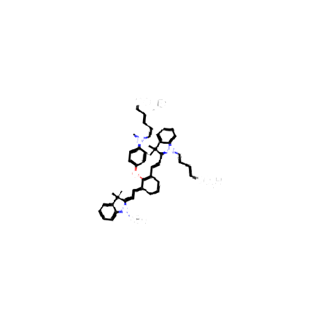 CCCCN1/C(=C/C=C2\CCCC(/C=C/C3=[N+](CCCCS(=O)(=O)O)c4ccccc4C3(C)C)=C2Oc2ccc(N(C)CCCCCC(=O)OCC)cc2)C(C)(C)c2ccccc21